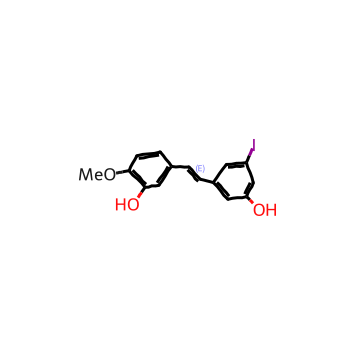 COc1ccc(/C=C/c2cc(O)cc(I)c2)cc1O